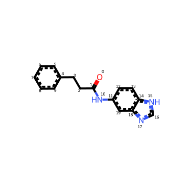 O=C(CCc1ccccc1)Nc1ccc2[nH]cnc2c1